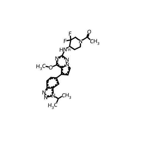 COc1nc(N[C@@H]2CCN(C(C)=O)CC2(F)F)nn2ccc(-c3ccc4nnn(C(C)C)c4c3)c12